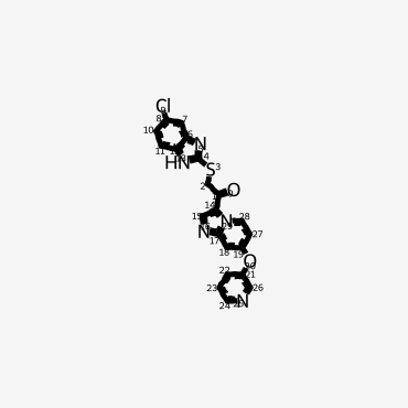 O=C(CSc1nc2cc(Cl)ccc2[nH]1)c1cnc2cc(Oc3cccnc3)ccn12